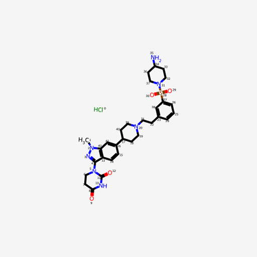 Cl.Cn1nc(N2CCC(=O)NC2=O)c2ccc(C3CCN(CCc4cccc(S(=O)(=O)N5CCC(N)CC5)c4)CC3)cc21